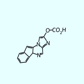 O=C(O)Oc1cn2c(n1)C=NC1C2=Cc2ccccc21